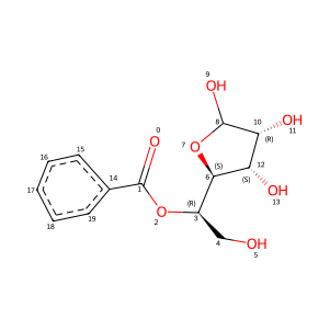 O=C(O[C@H](CO)[C@H]1OC(O)[C@H](O)[C@@H]1O)c1ccccc1